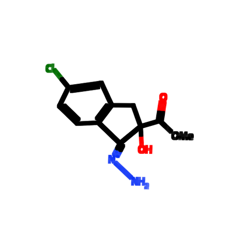 COC(=O)C1(O)Cc2cc(Cl)ccc2/C1=N/N